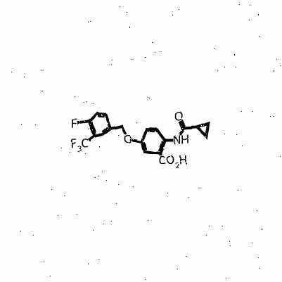 O=C(O)c1cc(OCc2ccc(F)c(C(F)(F)F)c2)ccc1NC(=O)C1CC1